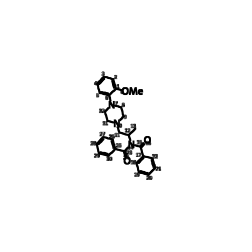 COc1ccccc1N1CCN(CC(C)N(C(=O)c2ccccc2)C(=O)c2ccccc2)CC1